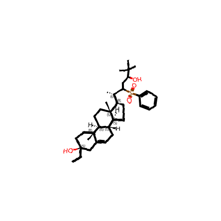 CC[C@]1(O)CC[C@@]2(C)C(=CC[C@H]3[C@@H]4CC[C@H]([C@H](C)C(CC(O)C(C)(C)C)S(=O)(=O)c5ccccc5)[C@@]4(C)CC[C@@H]32)C1